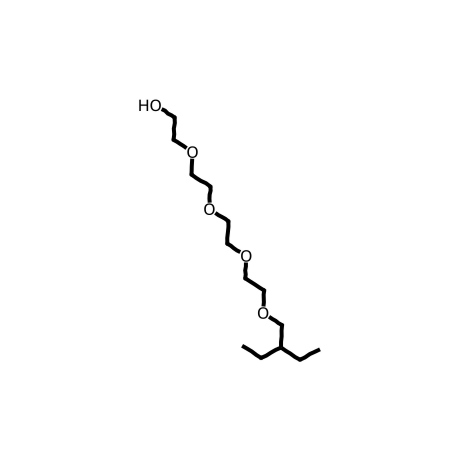 CCC(CC)COCCOCCOCCOCCO